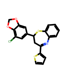 Clc1cc(C2CC(c3cccs3)=Nc3ccccc3S2)cc2c1OCO2